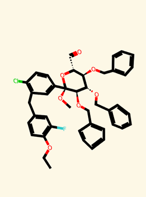 CCOc1ccc(Cc2cc([C@]3(OC)O[C@H](C=O)[C@@H](OCc4ccccc4)[C@H](OCc4ccccc4)[C@H]3OCc3ccccc3)ccc2Cl)cc1F